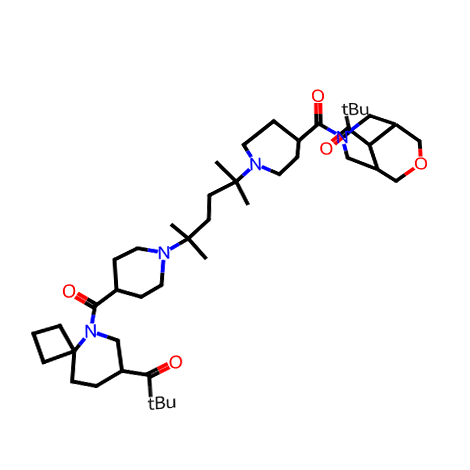 CC(C)(C)C(=O)C1CCC2(CCC2)N(C(=O)C2CCN(C(C)(C)CCC(C)(C)N3CCC(C(=O)N4CC5COCC(C4)C5C(=O)C(C)(C)C)CC3)CC2)C1